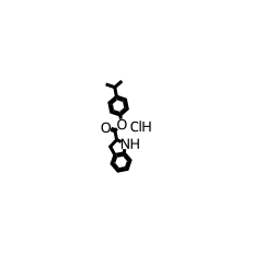 CC(C)c1ccc(OC(=O)C2Cc3ccccc3N2)cc1.Cl